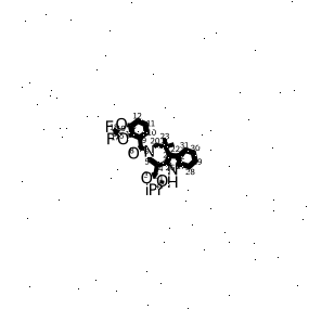 CC(C)OC(=O)C1=CN(C(=O)c2cccc3c2OC(F)(F)O3)CC(C)(C)c2c1[nH]c1ccccc21